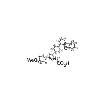 COc1ccc(-c2cc(-c3ccc(-c4cccc5c4oc4ccccc45)cc3)n(CC(=O)O)n2)cc1